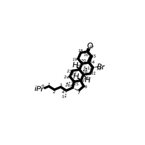 CC(C)CCC[C@@H](C)[C@H]1CC[C@H]2[C@@H]3C[C@@H](Br)C4=CC(=O)CC[C@]4(C)[C@H]3CC[C@]12C